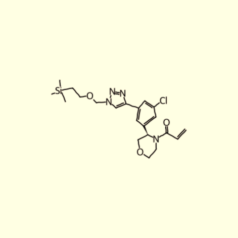 C=CC(=O)N1CCOC[C@H]1c1cc(Cl)cc(-c2cn(COCC[Si](C)(C)C)nn2)c1